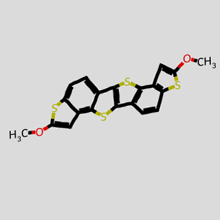 COc1cc2c(ccc3c2sc2c4ccc5sc(OC)cc5c4sc32)s1